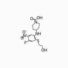 O=C(O)N1CCC(Nc2cc([N+](=O)[O-])c(F)cc2SCCO)CC1